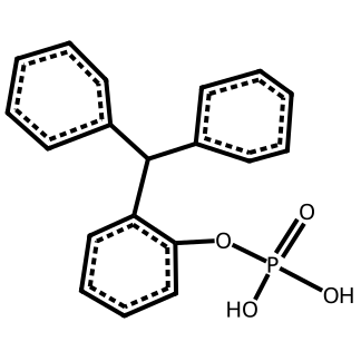 O=P(O)(O)Oc1ccccc1C(c1ccccc1)c1ccccc1